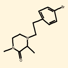 CC1C(=O)N(C)CCN1CCc1ccc(Br)cc1